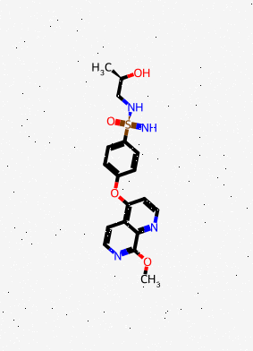 COc1nccc2c(Oc3ccc([S@@](=N)(=O)NC[C@@H](C)O)cc3)ccnc12